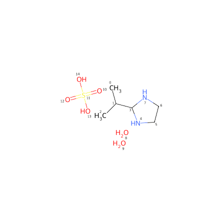 CC(C)C1NCCN1.O.O.O=S(=O)(O)O